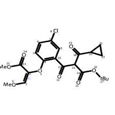 CO/C=C(/Oc1ccc(Cl)cc1C(=O)C(C(=O)OC(C)(C)C)C(=O)C1CC1)C(=O)OC